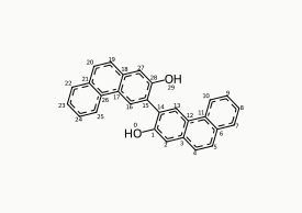 Oc1cc2ccc3ccccc3c2cc1-c1cc2c(ccc3ccccc32)cc1O